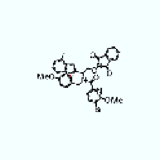 COc1ccc(CN(C(=O)c2ccc(Br)c(OC)n2)C(CON2C(=O)c3ccccc3C2=O)c2cc3c(C)cccc3o2)cc1